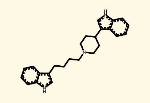 c1ccc2c(CCCCN3CCC(c4c[nH]c5ccccc45)CC3)c[nH]c2c1